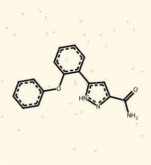 NC(=O)c1cc(-c2ccccc2Oc2ccccc2)[nH]n1